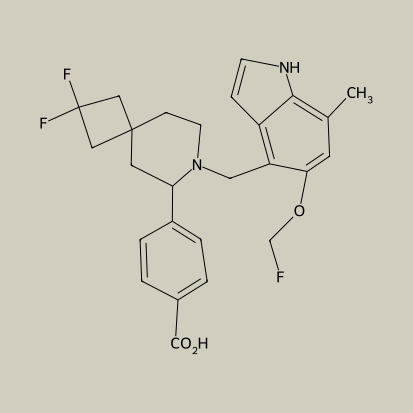 Cc1cc(OCF)c(CN2CCC3(CC2c2ccc(C(=O)O)cc2)CC(F)(F)C3)c2cc[nH]c12